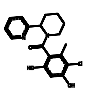 Cc1c(Cl)c(O)cc(O)c1C(=O)N1CCCCC1c1ccccn1